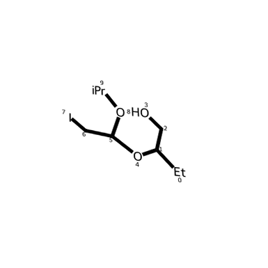 CCC(CO)OC(CI)OC(C)C